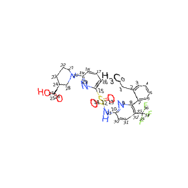 CCc1ccccc1-c1nc(NS(=O)(=O)c2cccc(N3CCC[C@H](C(=O)O)C3)n2)ccc1C(F)(F)F